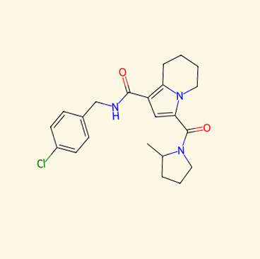 CC1CCCN1C(=O)c1cc(C(=O)NCc2ccc(Cl)cc2)c2n1CCCC2